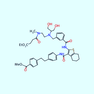 CCOC(=O)CCC(=O)N(C)CCN(Cc1cccc(C(=O)Nc2sc3c(c2C(=O)Nc2ccc(CCc4ccc(C(=O)OC)cc4)cc2)CCCC3)c1)C(CO)CO